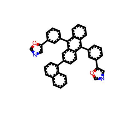 c1cc(-c2cnco2)cc(-c2c3ccccc3c(-c3cccc(-c4cnco4)c3)c3cc(-c4cccc5ccccc45)ccc23)c1